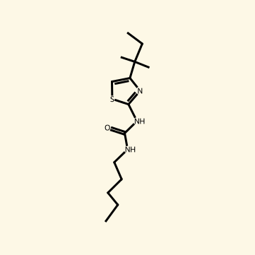 CCCCCNC(=O)Nc1nc(C(C)(C)CC)cs1